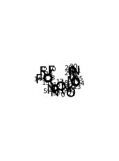 C[C@H]1c2nn(C)c(-c3cc(F)c(F)c(F)c3)c2CCN1C(=O)c1cccc(-n2cccn2)n1